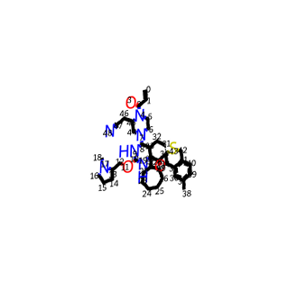 C=CC(=O)N1CCN(C2NC(OCC3CCCN3C)NC3(C4CCCCCC4)C(=O)[C@]4(CCC23)Cc2cc(C)ccc2CS4)CC1CC#N